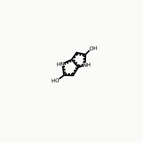 Oc1cc2[nH]c(O)cc2[nH]1